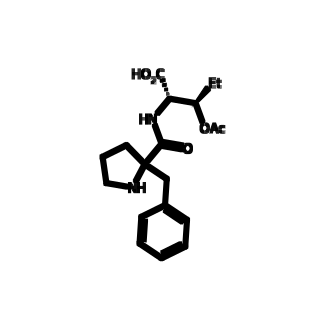 CC[C@@H](OC(C)=O)[C@H](NC(=O)C1(Cc2ccccc2)CCCN1)C(=O)O